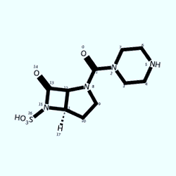 O=C(N1CCNCC1)N1CC[C@@H]2C1C(=O)N2S(=O)(=O)O